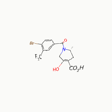 C[C@@H]1CC(C(=O)O)=C(O)CN1C(=O)c1ccc(Br)c(C(F)(F)F)c1